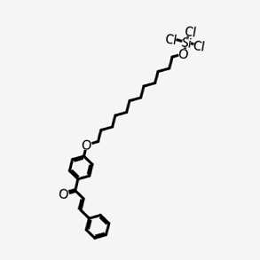 O=C(C=Cc1ccccc1)c1ccc(OCCCCCCCCCCCCO[Si](Cl)(Cl)Cl)cc1